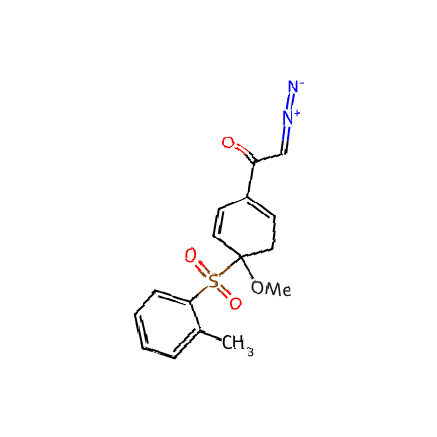 COC1(S(=O)(=O)c2ccccc2C)C=CC(C(=O)C=[N+]=[N-])=CC1